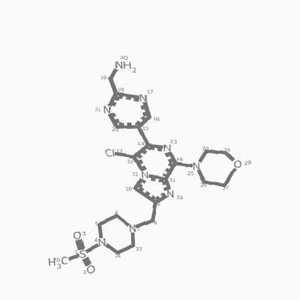 CS(=O)(=O)N1CCN(Cc2cn3c(Cl)c(-c4cnc(CN)nc4)nc(N4CCOCC4)c3n2)CC1